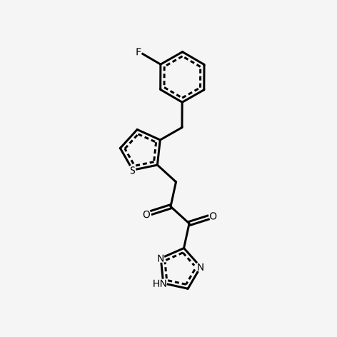 O=C(Cc1sccc1Cc1cccc(F)c1)C(=O)c1nc[nH]n1